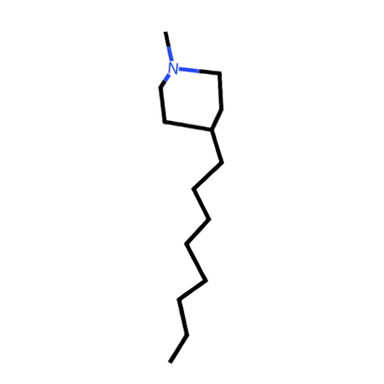 CCCCCCCCC1CCN(C)CC1